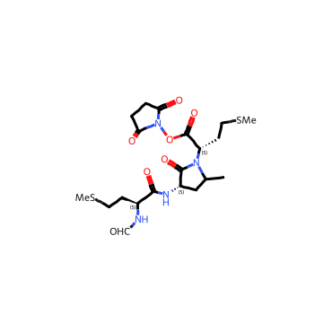 CSCC[C@H](NC=O)C(=O)N[C@H]1CC(C)N([C@@H](CCSC)C(=O)ON2C(=O)CCC2=O)C1=O